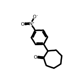 O=C1CCCCCC1c1ccc([N+](=O)[O-])cc1